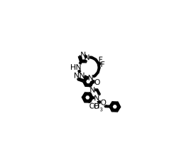 Cc1cccc2c1N(C(=O)OCc1ccccc1)CCN2c1cc2cnc3nc2n(c1=O)CCCC(F)(F)CCn1cc(cn1)N3